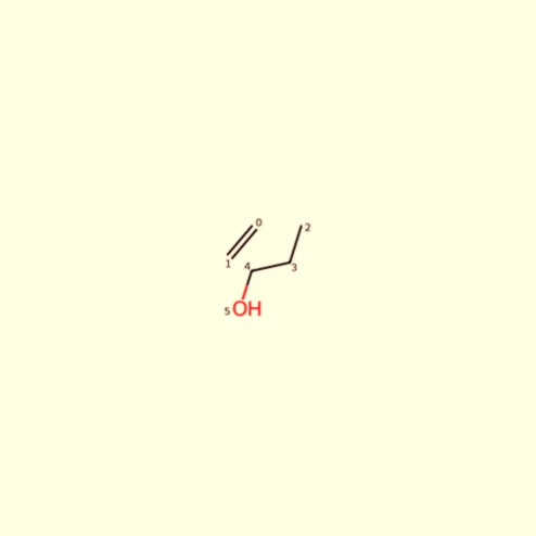 C=C.CCCO